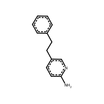 Nc1ccc(CCc2ccccc2)cn1